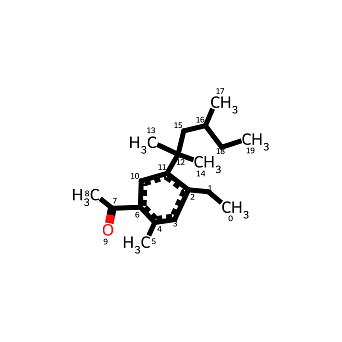 CCc1cc(C)c(C(C)=O)cc1C(C)(C)CC(C)CC